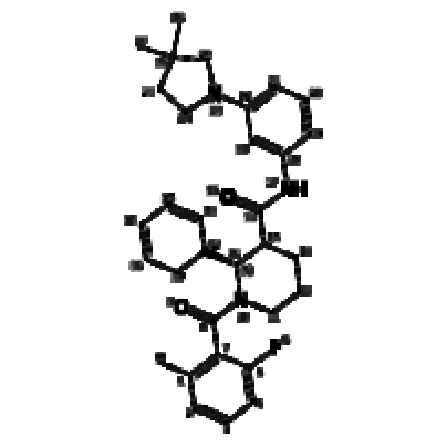 Cc1cccc(F)c1C(=O)N1CCCC(C(=O)Nc2cccc(N3CCC(C)(C)C3)c2)[C@@H]1C1C=CC=CC1